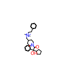 C[N+](C)(CCc1ccccc1)CC1CCN(C(=O)C(O)(c2ccccc2)C2CCCC2)CC1